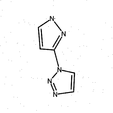 C1=CC(n2ccnn2)=N[N]1